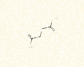 CC(=O)CCC(N)=O.[Zr]